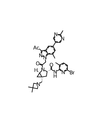 CC(=O)c1nn(CC(=O)N2[C@H](C(=O)Nc3nc(Br)ccc3C)C[C@@]3(CN4CC(C)(C)C4)C[C@@H]23)c2c(C)cc(-c3cnc(C)nc3)cc12